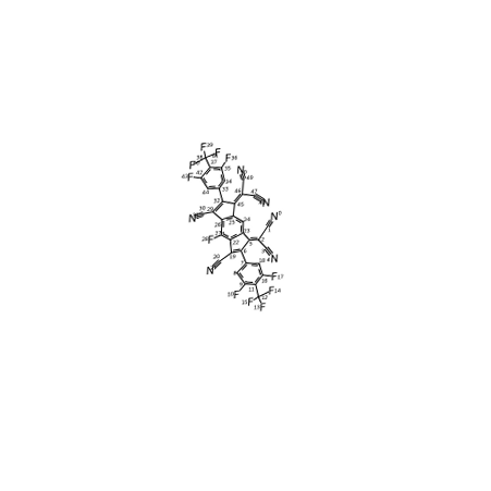 N#CC(C#N)=C1C(c2cc(F)c(C(F)(F)F)c(F)c2)=C(C#N)c2c1cc1c(c2F)C(C#N)=C(c2cc(F)c(C(F)(F)F)c(F)c2)C1=C(C#N)C#N